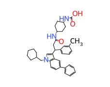 Cc1cccc(C(CC(=O)NC2CCC(NC(=O)O)CC2)c2cn(CC3CCCCC3)c3ccc(-c4ccccc4)cc23)c1